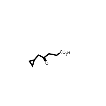 O=C(O)CCC(=O)CC1CC1